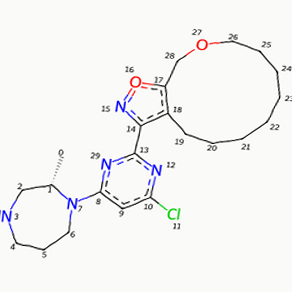 C[C@H]1CNCCCN1c1cc(Cl)nc(-c2noc3c2CCCCCCCCOC3)n1